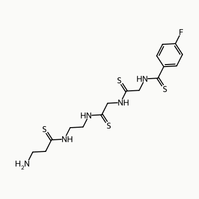 NCCC(=S)NCCNC(=S)CNC(=S)CNC(=S)c1ccc(F)cc1